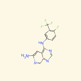 Nc1cc2c(Nc3ccc(F)c(C(F)(F)F)c3)ncnc2cn1